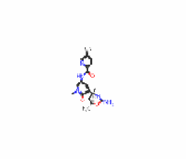 Cn1cc(NC(=O)c2ccc(C#N)cn2)cc([C@@]2(C)C[C@@H](C(F)(F)F)OC(N)=N2)c1=O